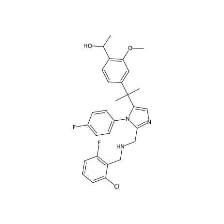 COc1cc(C(C)(C)c2cnc(CNCc3c(F)cccc3Cl)n2-c2ccc(F)cc2)ccc1C(C)O